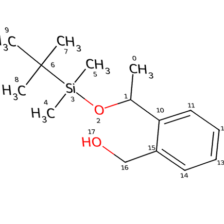 CC(O[Si](C)(C)C(C)(C)C)c1ccccc1CO